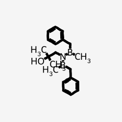 CB(Cc1ccccc1)N(CC(C)(C)O)B(C)Cc1ccccc1